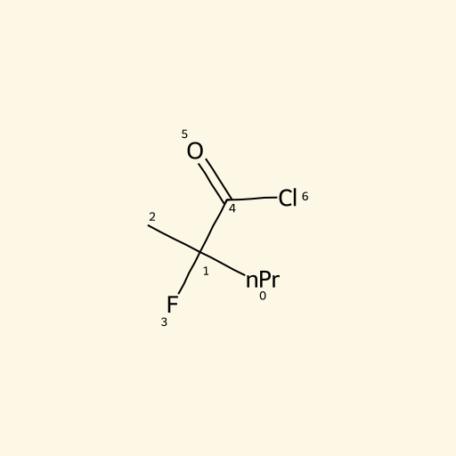 CCCC(C)(F)C(=O)Cl